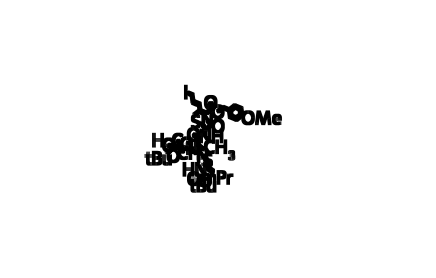 CCC/C=C(\NC(=O)OC(C)(C)C)S/N=C(C)/C(=N/OC(C)(C)C(=O)OC(C)(C)C)C(=O)N[C@@H]1C(=O)N2C(C(=O)OCc3ccc(OC)cc3)=C(/C=C/CI)CSC12